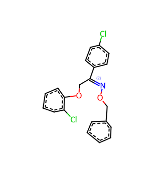 Clc1ccc(/C(COc2ccccc2Cl)=N/OCc2ccccc2)cc1